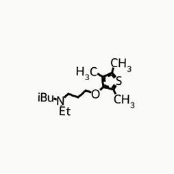 CCC(C)N(CC)CCCOc1c(C)sc(C)c1C